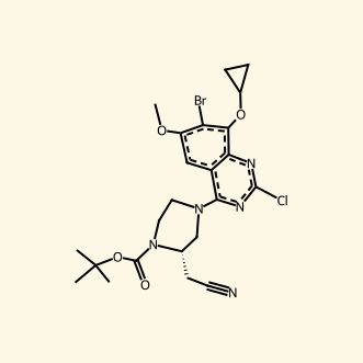 COc1cc2c(N3CCN(C(=O)OC(C)(C)C)[C@@H](CC#N)C3)nc(Cl)nc2c(OC2CC2)c1Br